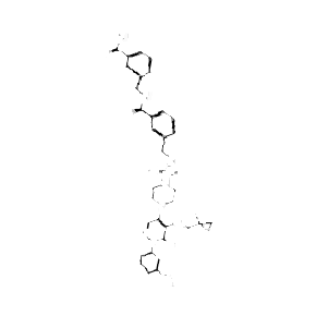 CC1(COc2c(N3CCN(S(=O)(=O)NCc4cccc(C(=O)NCc5cccc(C(N)=O)c5)c4)CC3)cnn(-c3cccc(Cl)c3)c2=O)CC1